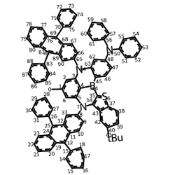 Cc1cc2c3c(c1)N(c1ccc4c(-c5ccccc5)c5ccccc5c(-c5ccccc5)c4c1)c1c(sc4ccc(C(C)(C)C)cc14)B3c1ccc(N(c3ccccc3)c3ccccc3)cc1N2c1ccc2c(-c3ccccc3)c3ccccc3c(-c3ccccc3)c2c1